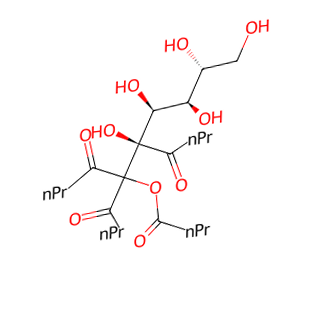 CCCC(=O)OC(C(=O)CCC)(C(=O)CCC)[C@@](O)(C(=O)CCC)[C@@H](O)[C@H](O)[C@H](O)CO